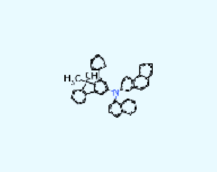 CC1(C)c2ccccc2-c2cc(N(c3ccc4c(ccc5ccccc54)c3)c3cccc4ccccc34)cc(-c3ccccc3)c21